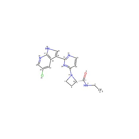 O=C(NCC(F)(F)F)[C@@H]1CCN1c1ccnc(-c2c[nH]c3ncc(Cl)cc23)n1